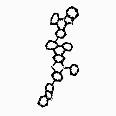 c1ccc(N2c3ccc(-c4ccc5c(c4)oc4ccccc45)cc3Sc3cc4c(cc32)c2ccccc2c2c(-c3ccc5c(c3)c3ccccc3n3c6ccccc6nc53)cccc42)cc1